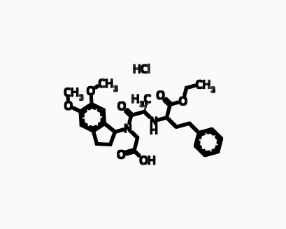 CCOC(=O)C(CCc1ccccc1)N[C@@H](C)C(=O)N(CC(=O)O)C1CCc2cc(OC)c(OC)cc21.Cl